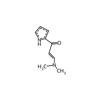 CN(C)C=CC(=O)c1ccc[nH]1